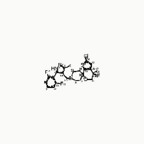 Cc1n[nH]c(-c2c(F)cccc2F)c1CN1CCC2(CC1)OCC(F)(F)c1cc(Cl)sc12